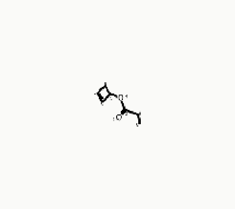 CCC(=O)OC1C=CC1